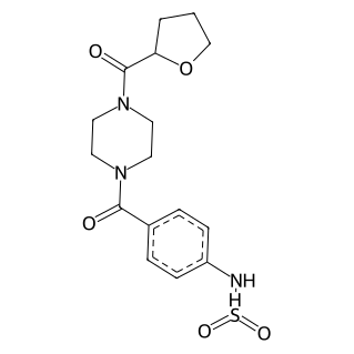 O=C(c1ccc(N[SH](=O)=O)cc1)N1CCN(C(=O)C2CCCO2)CC1